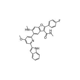 CNC(=O)c1c(-c2ccc(F)cc2)oc2cc(NC)c(-c3cc(OC)cc(-c4cc5ccccc5[nH]4)n3)cc12